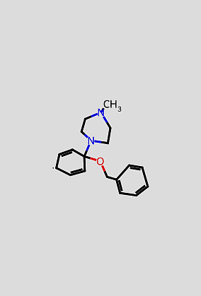 CN1CCN(C2(OCc3ccccc3)C=C[CH]C=C2)CC1